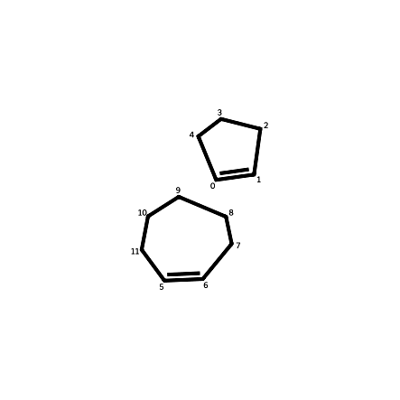 C1=CCCC1.C1=CCCCCC1